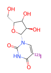 O=c1[nH]c(=O)n([C@@H]2O[C@H](CO)C(O)[C@H]2O)cc1[123I]